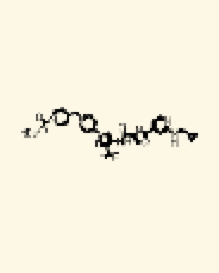 CC(C)(C)OC(=O)N1CCC(CN2CCC(n3cc(NC(=O)c4coc(-c5ccnc(NCC6CC6)c5)n4)c(C(F)F)n3)CC2)CC1